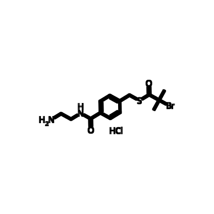 CC(C)(Br)C(=O)SCc1ccc(C(=O)NCCN)cc1.Cl